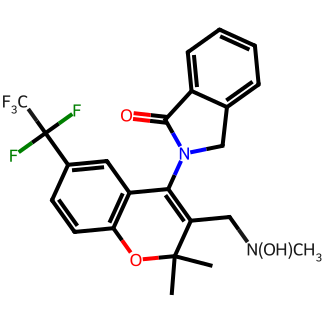 CN(O)CC1=C(N2Cc3ccccc3C2=O)c2cc(C(F)(F)C(F)(F)F)ccc2OC1(C)C